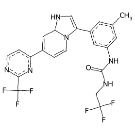 Cc1cc(NC(=O)NCC(F)(F)F)cc(C2=CNC3C=C(c4ccnc(C(F)(F)F)n4)C=CN23)c1